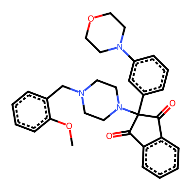 COc1ccccc1CN1CCN(C2(c3cccc(N4CCOCC4)c3)C(=O)c3ccccc3C2=O)CC1